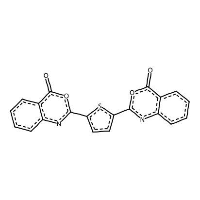 O=c1oc(-c2ccc(-c3nc4ccccc4c(=O)o3)s2)nc2ccccc12